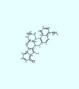 Cc1c(C(Cc2ccc3c(N)ncnc3c2)N2CCNCC2=O)sc2cccc(Cl)c12